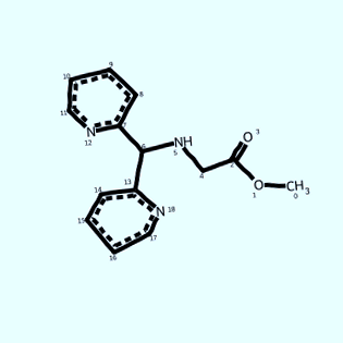 COC(=O)CNC(c1ccccn1)c1ccccn1